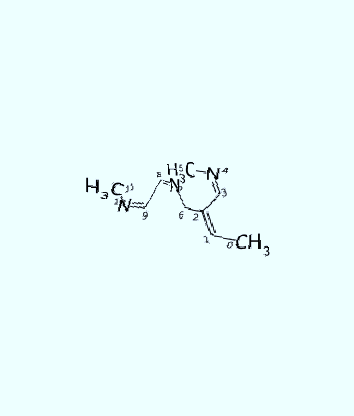 C/C=C(\C=N/C)C/N=C\C=N/C